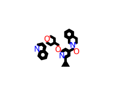 O=C(c1cc(OCC2CCOCC2)nc(C2CC2)c1)N1CCc2ccccc2C1.c1ccc2ncccc2c1